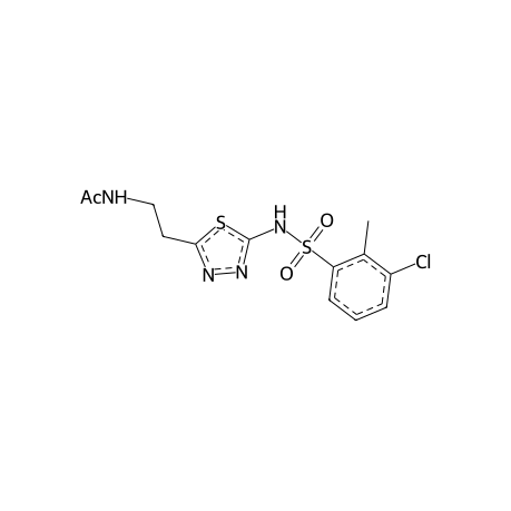 CC(=O)NCCc1nnc(NS(=O)(=O)c2cccc(Cl)c2C)s1